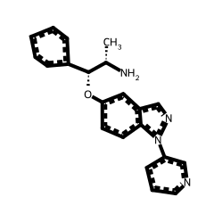 C[C@H](N)[C@H](Oc1ccc2c(cnn2-c2cccnc2)c1)c1ccccc1